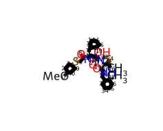 COc1ccc(SCC(=O)N[C@@H](Cc2ccccc2)[C@H](O)C(=O)N2CSC(C)[C@H]2C(=O)NCc2ccccc2C)cc1